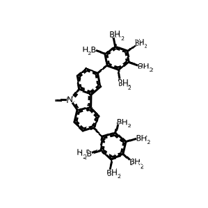 Bc1c(B)c(B)c(-c2ccc3c(c2)c2cc(-c4c(B)c(B)c(B)c(B)c4B)ccc2n3C)c(B)c1B